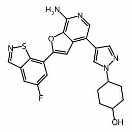 Nc1ncc(-c2cnn(C3CCC(O)CC3)c2)c2cc(-c3cc(F)cc4cnsc34)oc12